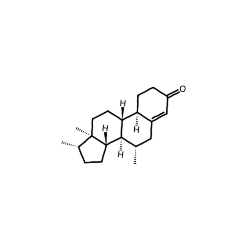 C[C@H]1CC2=CC(=O)CC[C@@H]2[C@H]2CC[C@]3(C)[C@@H](C)CC[C@H]3[C@@H]21